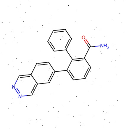 NC(=O)c1cccc(-c2ccc3cnncc3c2)c1-c1ccccc1